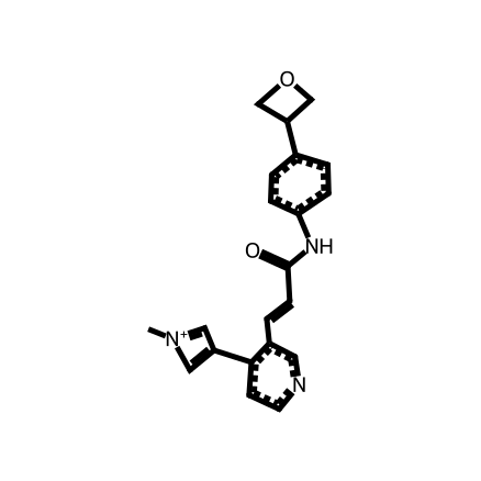 C[N+]1=CC(c2ccncc2/C=C/C(=O)Nc2ccc(C3COC3)cc2)=C1